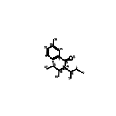 CCC(C)N(C(=O)c1cccc(C)c1)C(C)CC